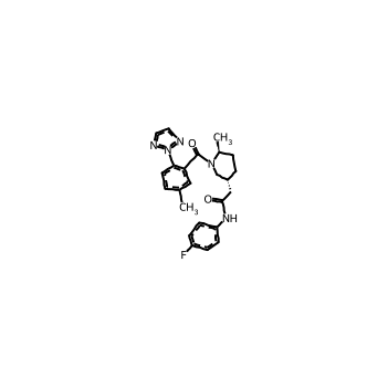 Cc1ccc(-n2nccn2)c(C(=O)N2C[C@@H](CC(=O)Nc3ccc(F)cc3)CC[C@@H]2C)c1